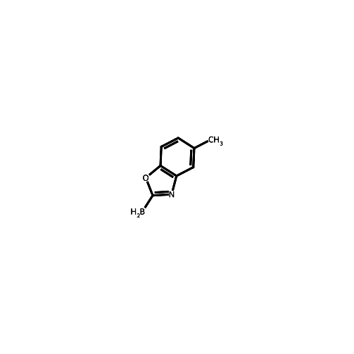 Bc1nc2cc(C)ccc2o1